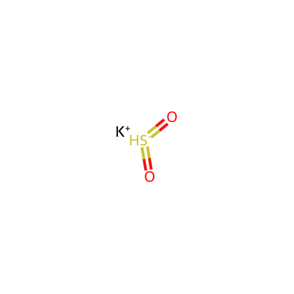 O=[SH-]=O.[K+]